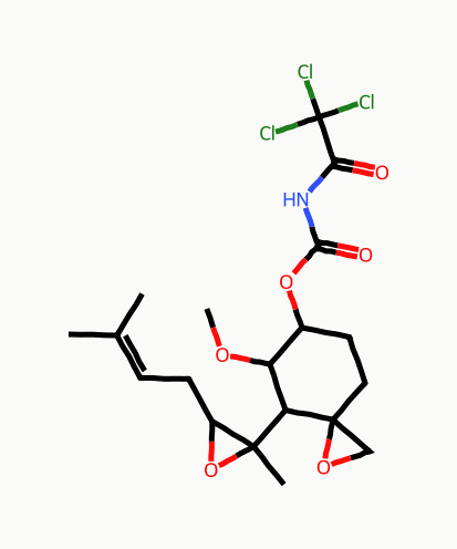 COC1C(OC(=O)NC(=O)C(Cl)(Cl)Cl)CCC2(CO2)C1C1(C)OC1CC=C(C)C